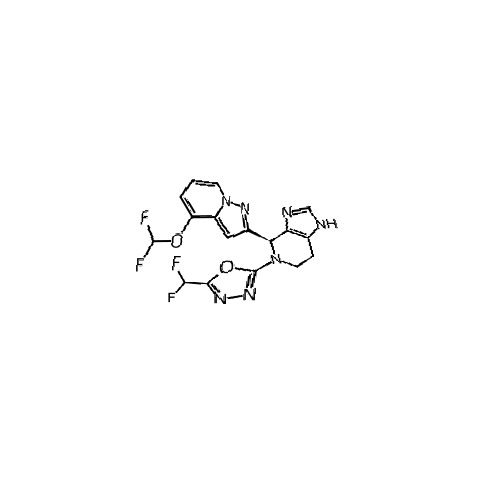 FC(F)Oc1cccn2nc([C@H]3c4nc[nH]c4CCN3c3nnc(C(F)F)o3)cc12